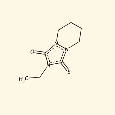 CCn1c(=O)n2n(c1=S)CCCC2